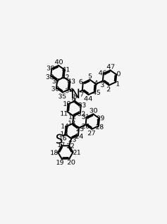 c1ccc(-c2ccc(N(c3ccc(-c4cc5sc6ccccc6c5cc4-c4ccccc4)cc3)c3ccc4ccccc4c3)cc2)cc1